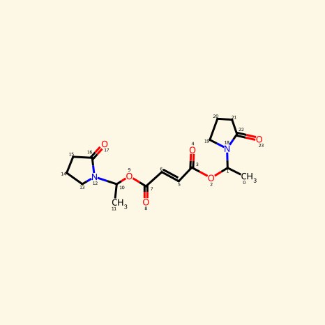 CC(OC(=O)C=CC(=O)OC(C)N1CCCC1=O)N1CCCC1=O